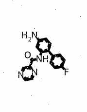 Nc1ccc(-c2ccc(F)cc2)c(NC(=O)c2cnccn2)c1